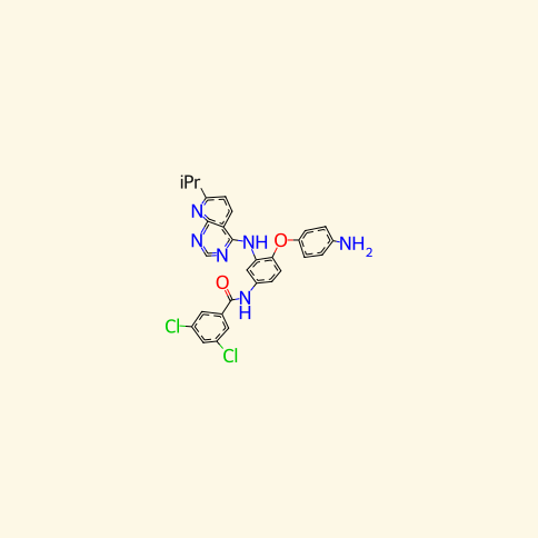 CC(C)c1ccc2c(Nc3cc(NC(=O)c4cc(Cl)cc(Cl)c4)ccc3Oc3ccc(N)cc3)ncnc2n1